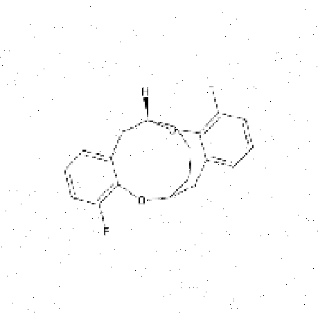 Fc1cccc2c1OC1CCC[C@@H](C2)Oc2c(F)cccc2C1